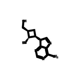 Nc1ncnc2c1ncn2[C@@H]1C[C@H](CO)[C@H]1O